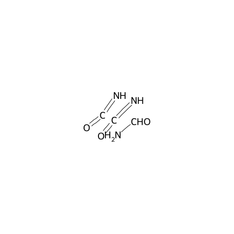 N=C=O.N=C=O.NC=O